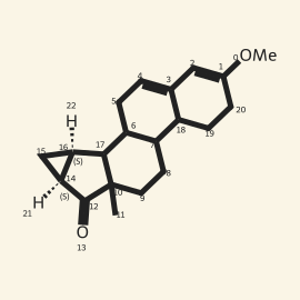 COC1=CC2=CCC3C(CCC4(C)C(=O)[C@H]5C[C@H]5C34)C2CC1